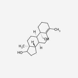 CC1=C2CC[C@@H]3[C@@H](CC[C@]4(C)C(O)CC[C@@H]34)[C@@]2(CO)CCC1